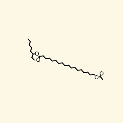 CCCCCC(CC)OC(=O)CCCCCCCCCCCCCCCCCOC(C)=O